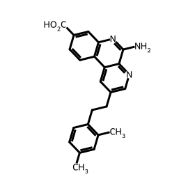 Cc1ccc(CCc2cnc3c(N)nc4cc(C(=O)O)ccc4c3c2)c(C)c1